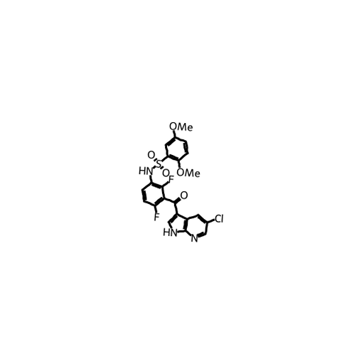 COc1ccc(OC)c(S(=O)(=O)Nc2ccc(F)c(C(=O)c3c[nH]c4ncc(Cl)cc34)c2F)c1